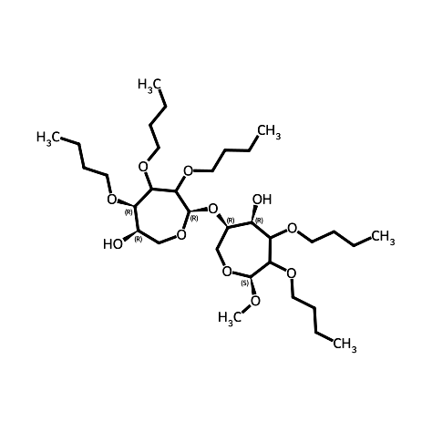 CCCCOC1C(OCCCC)[C@H](O)[C@H](O[C@H]2OC[C@@H](O)[C@@H](OCCCC)C(OCCCC)C2OCCCC)CO[C@@H]1OC